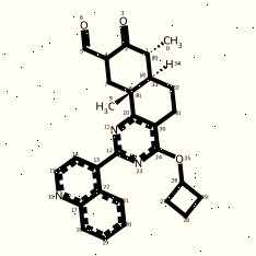 C[C@H]1C(=O)C(C=O)C[C@@]2(C)c3nc(-c4ccnc5ccccc45)nc(OC4CCC4)c3CC[C@H]12